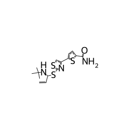 C=CC(NC(C)(C)C)Sc1nc(-c2ccc(C(N)=O)s2)cs1